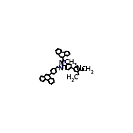 C=Cc1cc(-c2ccc(C(=N/Cc3ccc(-c4cc5ccccc5c5ccccc45)cc3)/N=C(\C)c3cc4ccccc4c4ccccc34)cc2)cnc1C=C